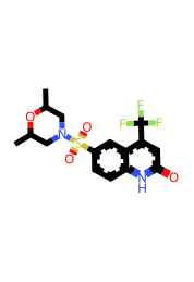 CC1CN(S(=O)(=O)c2ccc3[nH]c(=O)cc(C(F)(F)F)c3c2)CC(C)O1